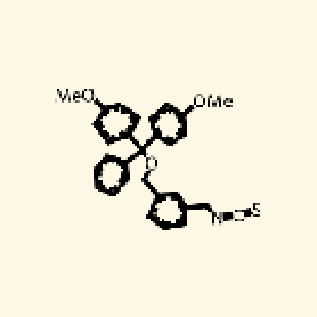 COc1ccc(C(OCc2cccc(CN=C=S)c2)(c2ccccc2)c2ccc(OC)cc2)cc1